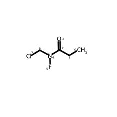 CCC(=O)N(F)CCl